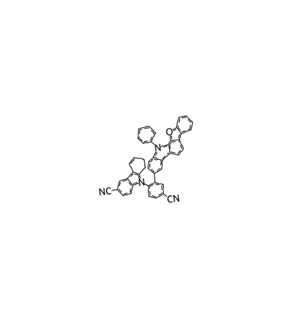 N#Cc1ccc(-n2c3c(c4cc(C#N)ccc42)C=CCC3)c(-c2ccc3c(c2)c2ccc4c5ccccc5oc4c2n3-c2ccccc2)c1